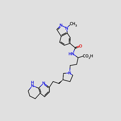 Cn1ncc2ccc(C(=O)NC(CCN3CC[C@@H](CCc4ccc5c(n4)NCCC5)C3)C(=O)O)cc21